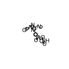 O=C1CCC(N2Cc3cc(-c4cc(CN5CCCC5)c5ncn(C6C[S+]([O-])C6)c5n4)ccc3C2=O)C(=O)N1